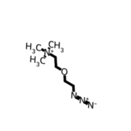 C[N+](C)(C)CCOCCN=[N+]=[N-]